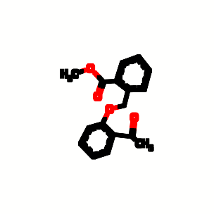 COC(=O)c1ccccc1COc1ccccc1C(C)=O